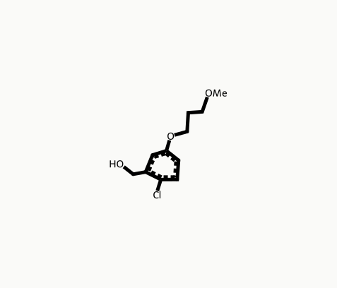 COCCCOc1ccc(Cl)c(CO)c1